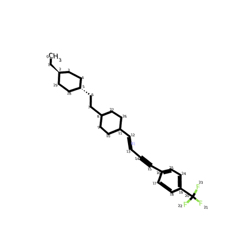 CC[C@H]1CC[C@H](CCC2CCC(/C=C/C#Cc3ccc(C(F)(F)F)cc3)CC2)CC1